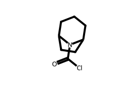 O=C(Cl)N1C2CCCC1CC2